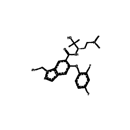 CC(C)Cn1ncc2cc(Oc3ccc(F)cc3F)c(C(=O)N[C@@H](CCN(C)C)C(C)(C)O)cc21